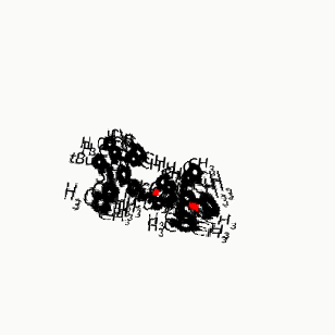 CC(C)(C)c1ccc2c3c(sc2c1)N(c1ccc2c(c1)C(C)(C)CCC2(C)C)c1cc(-c2ccc([Si](C)(C)CCC(C)(C)c4ccc5sc6c(c5c4)B4c5cc7c(cc5N(c5ccc8c(c5)C(C)(C)CCC8(C)C)c5cc(-c8ccccc8[Si](C)(C)C)cc(c54)N6c4ccc5c(c4)C(C)(C)CCC5(C)C)C(C)(C)CCC7(C)C)cc2)cc2c1B3c1cc3c(cc1N2c1ccc2c(c1)C(C)(C)CCC2(C)C)C(C)(C)CCC3(C)C